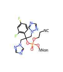 [C-]#[N+]CCOP(=O)(OCCCCCCCCC)OC(Cn1cncn1)(Cn1cncn1)c1ccc(F)cc1F